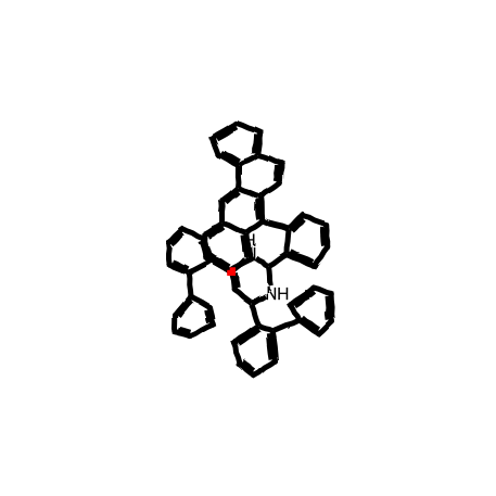 C1=C(c2ccccc2-c2ccccc2)NC(c2ccccc2-c2c3ccccc3cc3c2ccc2ccccc23)NC1c1ccccc1-c1ccccc1